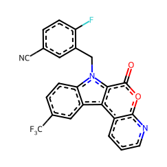 N#Cc1ccc(F)c(Cn2c3ccc(C(F)(F)F)cc3c3c4cccnc4oc(=O)c32)c1